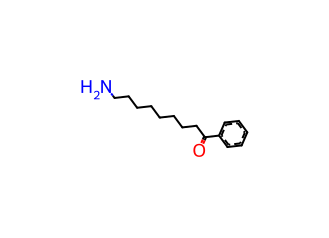 NCCCCCCCCC(=O)c1ccccc1